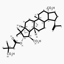 C=C(C)[C@@H]1CC[C@]2(C(=O)O)CC[C@]3(C)C(CC[C@@H]4[C@@]5(C)[C@@H](C(=O)O)[C@H](OC(=O)CC(C)(C)C(=O)O)C(C)(C)[C@@H]5CC[C@]43C)C12